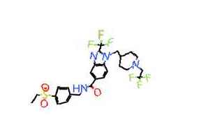 CCS(=O)(=O)c1ccc(CNC(=O)c2ccc3c(c2)nc(C(F)(F)F)n3CC2CCN(CC(F)(F)F)CC2)cc1